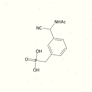 CC(=O)NC(C#N)c1cccc(CP(=O)(O)O)c1